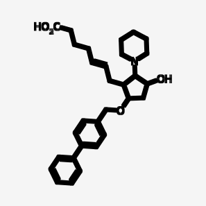 O=C(O)CCCC=CCC1C(OCc2ccc(-c3ccccc3)cc2)CC(O)C1N1CCCCC1